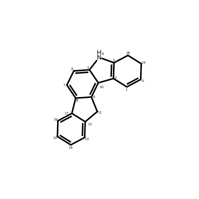 C1=Cc2c([nH]c3ccc4c(c23)Cc2ccccc2-4)CC1